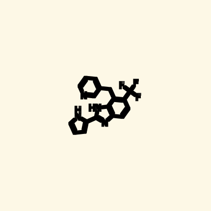 FC(F)(F)c1ccc2nc(-c3ccc[nH]3)[nH]c2c1Cc1cccnc1